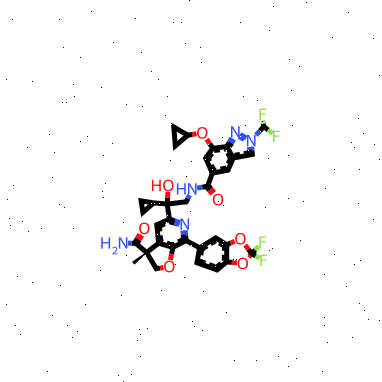 C[C@]1(C(N)=O)COc2c1cc(C(O)(CNC(=O)c1cc(OC3CC3)c3nn(C(F)F)cc3c1)C1CC1)nc2-c1ccc2c(c1)OC(F)(F)O2